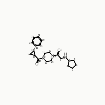 O=C(CNC1CCCC1)N1CCN(C(=O)C2C[C@@H]2c2ccccc2)CC1